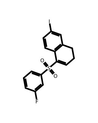 O=S(=O)(C1=CCCc2cc(I)ccc21)c1cccc(F)c1